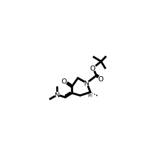 C[C@@H]1CC(=CN(C)C)C(=O)CN1C(=O)OC(C)(C)C